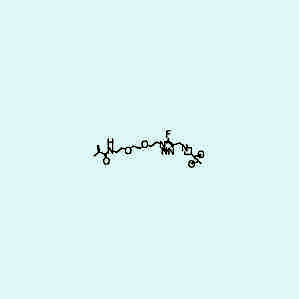 C=C(C)C(=O)NCCOCCOCCn1nnc(CN2CC(S(C)(=O)=O)C2)c1F